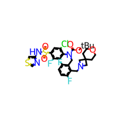 CC(C)(C)OC(=O)N(Cc1c(F)ccc(F)c1CN1CC2(CCOCC2)C1)c1cc(F)c(S(=O)(=O)Nc2cscn2)cc1Cl